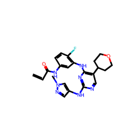 C=CC(=O)Nc1ccc(F)c(Nc2nc(Nc3cnn(C)c3)ncc2C2CCOCC2)c1